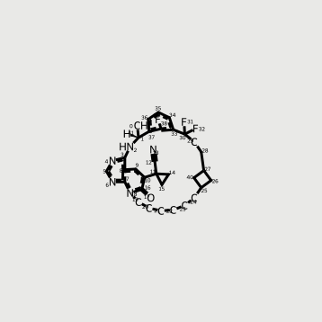 C[C@H]1Nc2ncnc3c2cc(C2(C#N)CC2)c(=O)n3CCCCCCC2CC(CCC(F)(F)c3cccc1c3F)C2